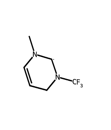 CN1[CH]N(C(F)(F)F)CC=C1